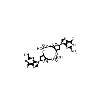 Nc1nc2c(ncn2[C@H]2CC3OP(=O)(O)OC[C@H]4O[C@@H](n5cnc6c(=O)[nH]c(N)nc65)CC4OP(=O)(O)OC[C@H]3O2)c(=O)[nH]1